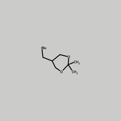 CC(C)(C)CC1COC(C)(C)OC1